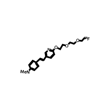 CNc1ccc(/C=C/c2ccc(OCCOCCOCC[18F])nc2)cc1